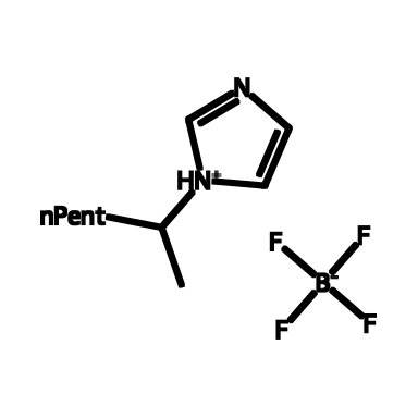 CCCCCC(C)[NH+]1C=CN=C1.F[B-](F)(F)F